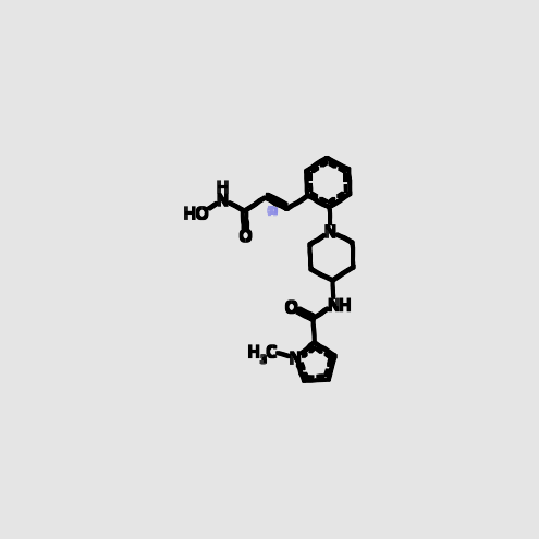 Cn1cccc1C(=O)NC1CCN(c2ccccc2/C=C/C(=O)NO)CC1